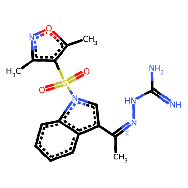 C/C(=N/NC(=N)N)c1cn(S(=O)(=O)c2c(C)noc2C)c2ccccc12